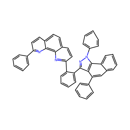 c1ccc(-c2ccc3ccc4ccc(-c5ccccc5-c5nn(-c6ccccc6)c6c5c(-c5ccccc5)cc5ccccc56)nc4c3n2)cc1